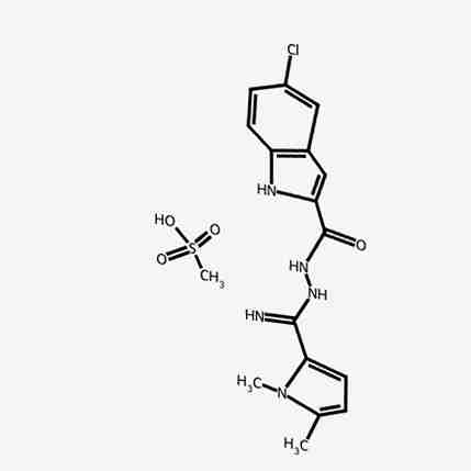 CS(=O)(=O)O.Cc1ccc(C(=N)NNC(=O)c2cc3cc(Cl)ccc3[nH]2)n1C